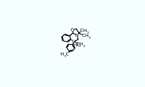 Cc1ccc([Si]2(C)CN3C(OCC3(C)C)c3ccccc32)cc1.Cl